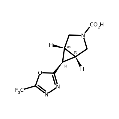 O=C(O)N1C[C@@H]2[C@H](C1)[C@H]2c1nnc(C(F)(F)F)o1